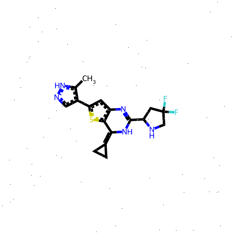 Cc1[nH]ncc1-c1cc2c(s1)C(=C1CC1)NC(C1CC(F)(F)CN1)=N2